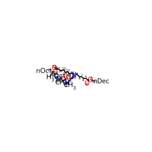 CCCCCCCCCCCOC(=O)CCCCCN(CCCCCCCC(=O)OC(CCCCCCCC)CCCCCCCC)CC(O)CN(C)CCCN(C)C